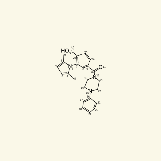 Cc1ccc(C)n1-c1cc(C(=O)N2CCN(c3ccccc3)CC2)ccc1C(=O)O